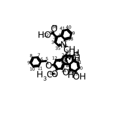 COc1c(OCc2ccccc2)cc2c3c1O[C@H]1[C@@H](O)C=C[C@H]4[C@@H](C2)N(C)CC[C@@]341.O=C(O)c1ccnc2ccccc12